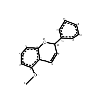 COc1cccc2c1C=CC(c1ccccc1)O2